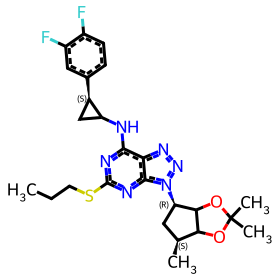 CCCSc1nc(NC2C[C@H]2c2ccc(F)c(F)c2)c2nnn([C@@H]3C[C@H](C)C4OC(C)(C)OC43)c2n1